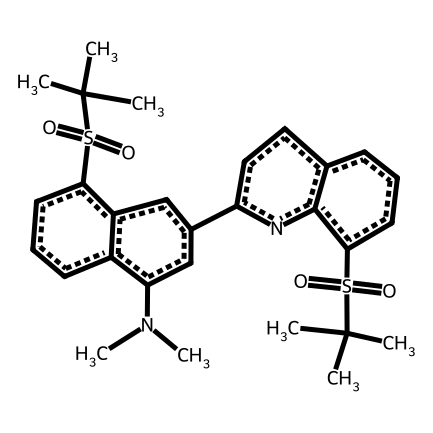 CN(C)c1cc(-c2ccc3cccc(S(=O)(=O)C(C)(C)C)c3n2)cc2c(S(=O)(=O)C(C)(C)C)cccc12